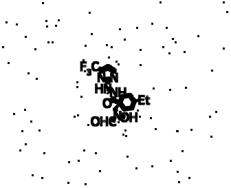 CC[C@H]1CC[C@](CN(O)C=O)(C(=O)NNc2nccc(C(F)(F)F)n2)CC1